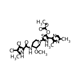 COC(=O)Oc1sc(N2CC[C@@H](NC(=O)c3[nH]c(C)c(Cl)c3Cl)[C@@H](OC)C2)nc1-c1ncc(C)nc1C